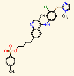 Cc1ccc(S(=O)(=O)OCCC=Cc2ccc3c(Nc4ccc(Sc5nccn5C)c(Cl)c4)c(C#N)cnc3c2)cc1